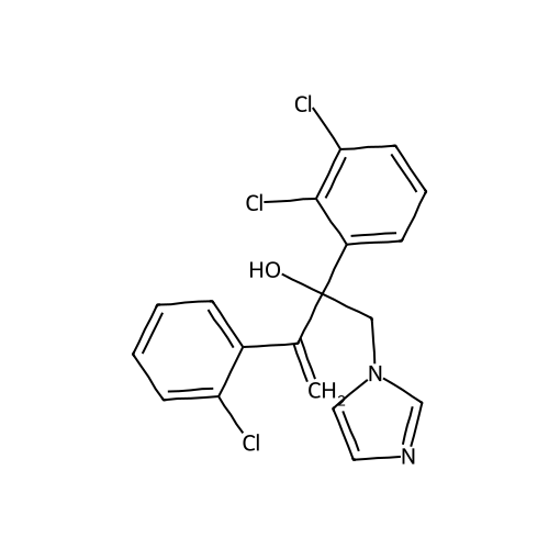 C=C(c1ccccc1Cl)C(O)(Cn1ccnc1)c1cccc(Cl)c1Cl